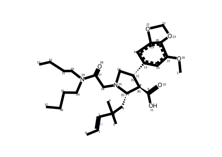 C/C=C/C(C)(C)C[C@H]1[C@H](C(=O)O)[C@@H](c2cc(OC)c3c(c2)OCO3)CN1CC(=O)N(CCCC)CCCC